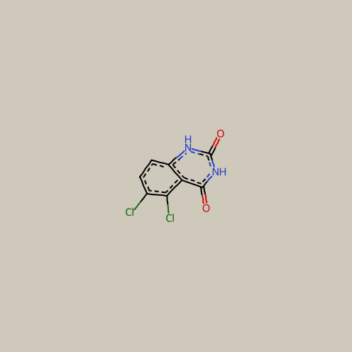 O=c1[nH]c(=O)c2c(Cl)c(Cl)ccc2[nH]1